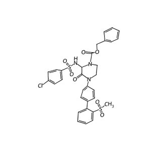 CS(=O)(=O)c1ccccc1-c1ccc(N2CCN(C(=O)OCc3ccccc3)C(NS(=O)(=O)c3ccc(Cl)cc3)C2=O)cc1